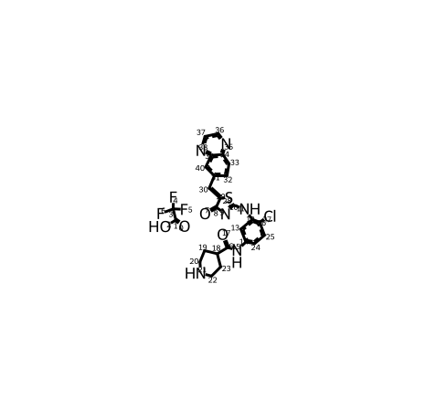 O=C(O)C(F)(F)F.O=C1N=C(Nc2cc(NC(=O)C3CCNCC3)ccc2Cl)S/C1=C\c1ccc2nccnc2c1